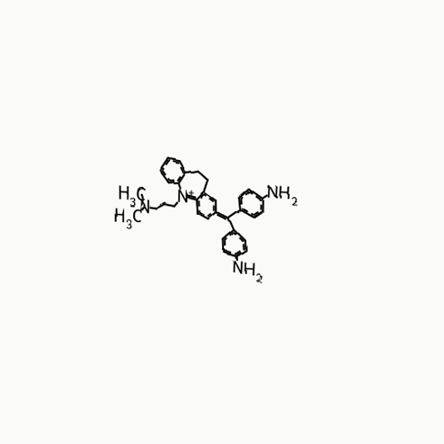 CN(C)CCC[N+]1=c2ccc(=C(c3ccc(N)cc3)c3ccc(N)cc3)cc2CCc2ccccc21